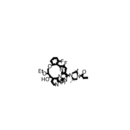 C=CC(=O)N1C[C@H](C)N(c2nc(=O)n3c4nc(c(F)cc24)-c2c(F)cccc2OCC(OCC)C(O)c2ccnc(C(C)C)c2-3)C[C@H]1C